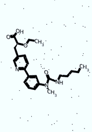 CCCCCNC(=O)N(C)c1cccc(-c2ccc(C[C@H](OCC)C(=O)O)cn2)c1